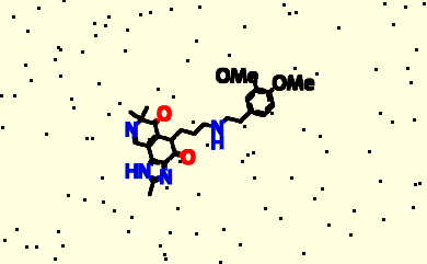 COc1ccc(CCNCCCC2C(=O)c3nc(C)[nH]c3C3=C2C(=O)C(C)(C)N=C3)cc1OC